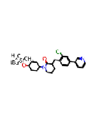 CC(C)(C)[Si](C)(C)OC1CCC(N2CCCC(Cc3ccc(-c4cccnc4)cc3Cl)C2=O)CC1